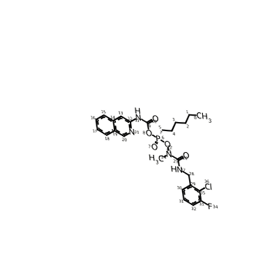 CCCCCC[P@](=O)(OC(=O)Nc1cc2ccccc2cn1)ON(C)C(=O)NCc1cccc(F)c1Cl